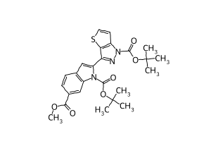 COC(=O)c1ccc2cc(-c3nn(C(=O)OC(C)(C)C)c4ccsc34)n(C(=O)OC(C)(C)C)c2c1